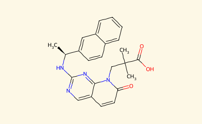 C[C@H](Nc1ncc2ccc(=O)n(CC(C)(C)C(=O)O)c2n1)c1ccc2ccccc2c1